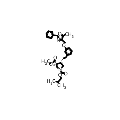 COC(=O)[C@H]1CN(C(=O)OCC(C)C)C[C@H]1CCc1cccc(OCc2nc(-c3ccccc3)oc2C)c1